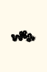 CC1(C)N=C(c2cccc(-c3ccc4c(c3)C(c3ccccc3)(c3ccccc3)c3cc(-c5cccc(C6=NC(C)(C)C(C)(C)N6c6ccccc6)n5)c5ccccc5c3-4)n2)N(c2ccccc2)C1(C)C